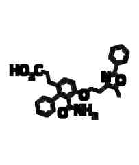 Cc1oc(-c2ccccc2)nc1CCOc1ccc(CCC(=O)O)c(-c2ccccc2)c1C(N)=O